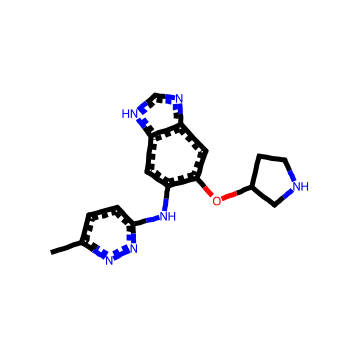 Cc1ccc(Nc2cc3[nH]cnc3cc2OC2CCNC2)nn1